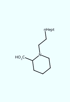 CCCCCCCCCN1CCCCC1C(=O)O